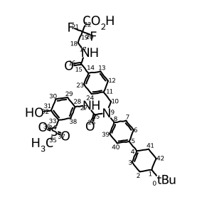 CC(C)(C)C1CC=C(c2ccc(N(Cc3ccc(C(=O)NCC(F)(F)C(=O)O)cc3)C(=O)Nc3ccc(O)c(S(C)(=O)=O)c3)cc2)CC1